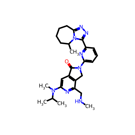 CNCc1nc(N(C)C(C)C)cc2c1CN(c1cccc(-c3nnc4n3C(C)CCCC4)n1)C2=O